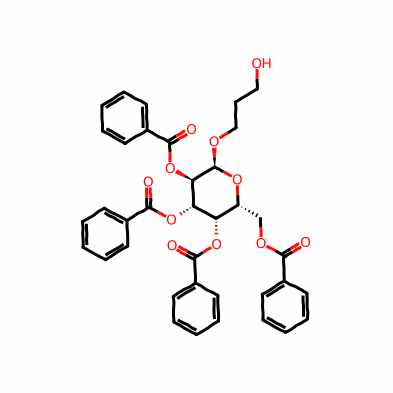 O=C(OC[C@H]1O[C@H](OCCCO)[C@H](OC(=O)c2ccccc2)[C@@H](OC(=O)c2ccccc2)[C@H]1OC(=O)c1ccccc1)c1ccccc1